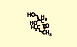 C1CO1.CC(O)CO.CCC